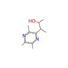 Cc1nc(C)c(C(C)C(C)O)nc1C